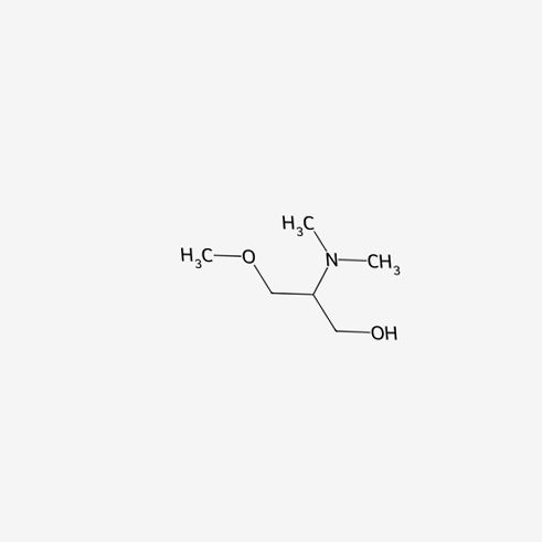 COCC(CO)N(C)C